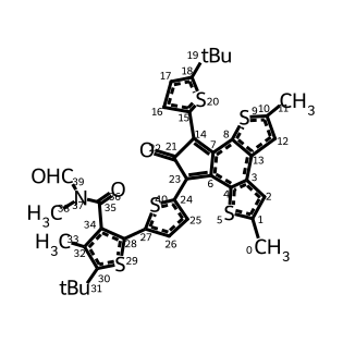 Cc1cc2c(s1)c1c(c3sc(C)cc32)=C(c2ccc(C(C)(C)C)s2)C(=O)C=1c1ccc(-c2sc(C(C)(C)C)c(C)c2C(=O)N(C)C=O)s1